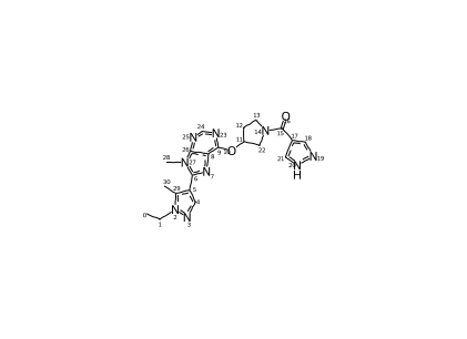 CCn1ncc(-c2nc3c(OC4CCN(C(=O)c5cn[nH]c5)C4)ncnc3n2C)c1C